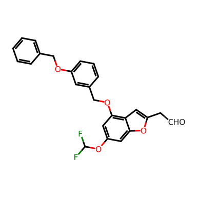 O=CCc1cc2c(OCc3cccc(OCc4ccccc4)c3)cc(OC(F)F)cc2o1